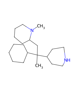 CN1CCCCC1CC(C)(C1CCCCC1)C1CCNCC1